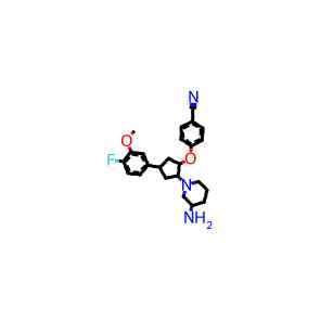 COc1cc(C2CC(Oc3ccc(C#N)cc3)C(N3CCCC(N)C3)C2)ccc1F